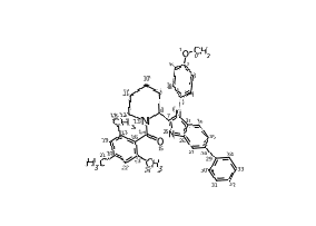 COc1ccc(-n2c(C3CCCCN3C(=O)c3c(C)cc(C)cc3C)nc3cc(-c4ccccc4)ccc32)cc1